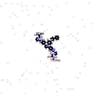 COC(=O)N[C@H](C(=O)N1CCC[C@H]1c1nc2ccc([C@H]3CC[C@H](c4ccc5[nH]c([C@@H]6CCCN6C(=O)[C@@H](NC(=O)O)C(C)C)nc5c4)N3c3cc(F)c(N4CCC(c5ccccc5)C4)c(F)c3)cc2[nH]1)C(C)C